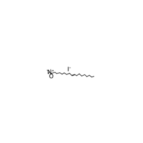 CCCCCCCCC=CCCCCCCCC(=O)[N+](C)(C)C.[I-]